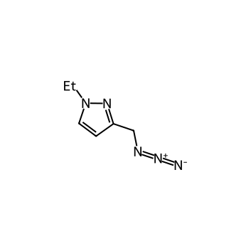 CCn1ccc(CN=[N+]=[N-])n1